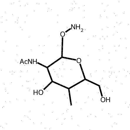 CC(=O)NC1C(ON)OC(CO)C(C)C1O